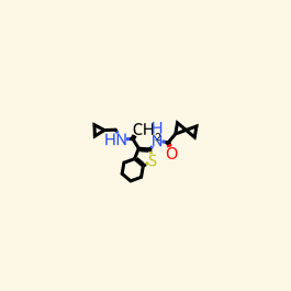 C=C(NCC1CC1)c1c(NC(=O)C2CC23CC3)sc2c1CCCC2